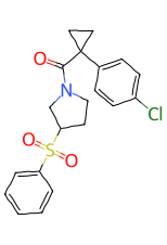 O=C(N1CCC(S(=O)(=O)c2ccccc2)C1)C1(c2ccc(Cl)cc2)CC1